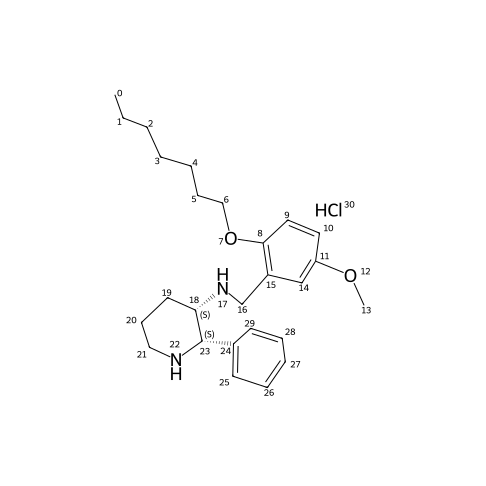 CCCCCCCOc1ccc(OC)cc1CN[C@H]1CCCN[C@H]1c1ccccc1.Cl